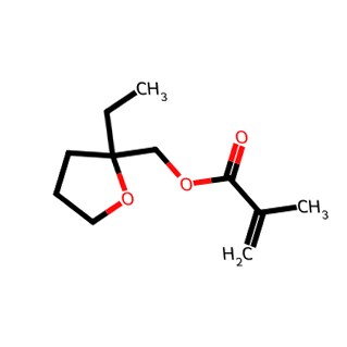 C=C(C)C(=O)OCC1(CC)CCCO1